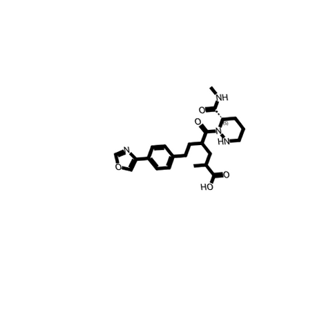 CNC(=O)[C@@H]1CCCNN1C(=O)C(CCc1ccc(-c2cocn2)cc1)CC(C)C(=O)O